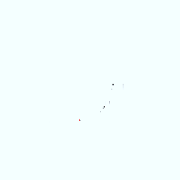 C=C(C)c1ccc2c(c1)S[C@]13CCC(=O)C=C1CC[C@@H]1C3[C@@H]2C[C@@]2(C)[C@H]1CC[C@@]2(O)/C=C\CO